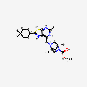 Cc1nc(CN2C[C@@H]3C[C@H]2CN3C(=O)OC(C)(C)C)c2nc(C3CCC(C)(C)CC3)sc2n1